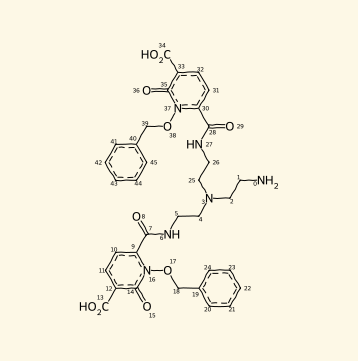 NCCN(CCNC(=O)c1ccc(C(=O)O)c(=O)n1OCc1ccccc1)CCNC(=O)c1ccc(C(=O)O)c(=O)n1OCc1ccccc1